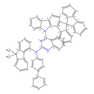 CC1(C)c2ccccc2-c2c(N(c3ccc(-c4ccccc4)cc3)c3nc(-n4c5ccccc5c5ccc6c(c54)-c4ccccc4C64c5ccccc5-c5ccccc54)c4ccccc4n3)cccc21